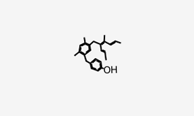 C/C=C/C(C)=C(\C=C\C)Cc1cc(Cc2ccc(O)cc2)c(C)cc1C